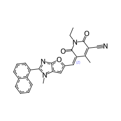 CCN1C(=O)C(C#N)=C(C)/C(=C/c2cc3c(nc(-c4cccc5ccccc45)n3C)o2)C1=O